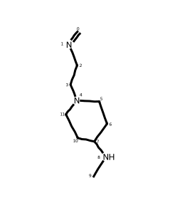 C=NCCN1CCC(NC)CC1